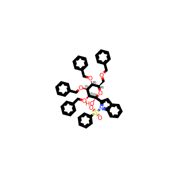 O=S(=O)(c1ccccc1)n1c([C@]2(O)O[C@H](COCc3ccccc3)[C@@H](OCc3ccccc3)[C@H](OCc3ccccc3)[C@@H]2OCc2ccccc2)cc2ccccc21